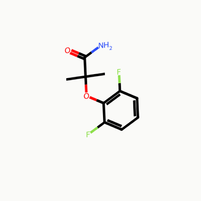 CC(C)(Oc1c(F)cccc1F)C(N)=O